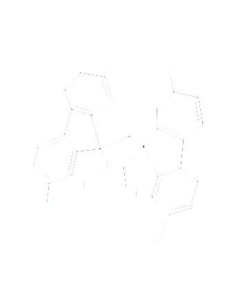 OCC1(CC2(CO)c3cc(Br)ccc3-c3ccc(Br)cc32)c2cc(Br)ccc2-c2ccc(Br)cc21